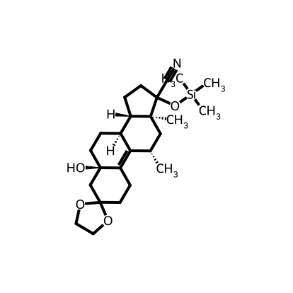 C[C@H]1C[C@@]2(C)[C@@H](CCC2(C#N)O[Si](C)(C)C)[C@@H]2CC[C@@]3(O)CC4(CCC3=C21)OCCO4